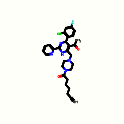 C#CCCCCC(=O)N1CCN(CC2=C(C(C)=O)C(c3ccc(F)cc3Cl)N=C(c3ccccn3)N2)CC1